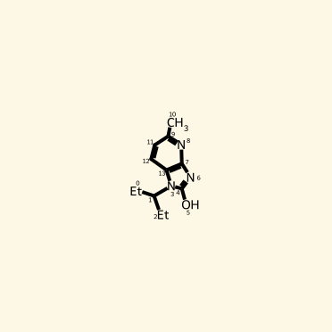 CCC(CC)n1c(O)nc2nc(C)ccc21